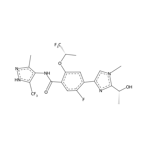 Cc1n[nH]c(C(F)(F)F)c1NC(=O)c1cc(F)c(-c2cn(C)c([C@@H](C)O)n2)cc1O[C@@H](C)C(F)(F)F